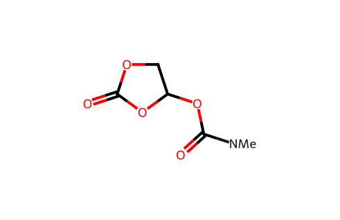 CNC(=O)OC1COC(=O)O1